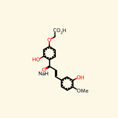 COc1ccc(/C=C/C(=O)c2ccc(OCC(=O)O)cc2O)cc1O.[NaH]